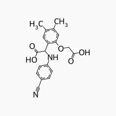 Cc1cc(OCC(=O)O)c(C(Nc2ccc(C#N)cc2)C(=O)O)cc1C